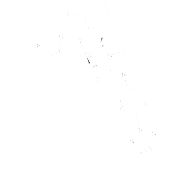 C[C@@H](N1CCN(c2ccc(-n3nccn3)cc2)C1=O)[C@](O)(Cn1cncn1)Oc1ccc(F)cc1F